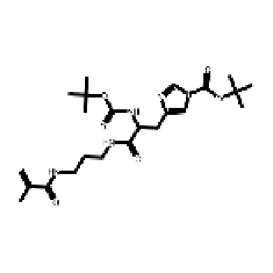 C=C(C)C(=O)NCCCNC(=O)C(Cc1cn(C(=O)OC(C)(C)C)cn1)NC(=O)OC(C)(C)C